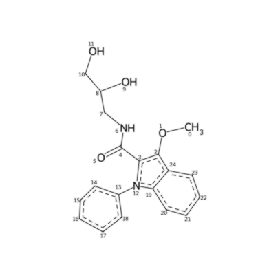 COc1c(C(=O)NCC(O)CO)n(-c2ccccc2)c2ccccc12